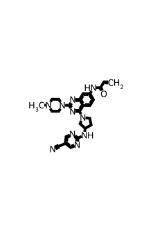 C=CC(=O)Nc1ccc2c(N3CCC(Nc4ncc(C#N)cn4)C3)nc(N3CCN(C)CC3)nc2c1